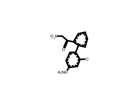 CC(=O)Nc1ccc(-c2ccccc2C(=O)C[N+](=O)[O-])c(Cl)c1